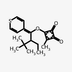 CCC(C(Oc1c(C)c(=O)c1=O)=C1C=CSC=C1)C(C)(C)C